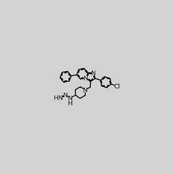 N=NNC1CCN(Cc2c(-c3ccc(Cl)cc3)nc3ccc(-c4ccccc4)cn23)CC1